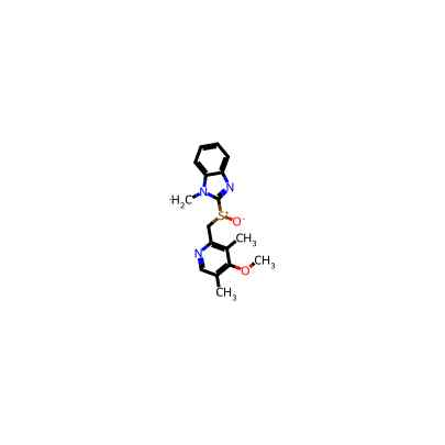 [CH2]n1c([S+]([O-])Cc2ncc(C)c(OC)c2C)nc2ccccc21